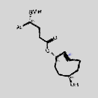 CN[C@H](CCC(=O)O[C@@H]1/C=C/CC[C@@H](O)CC1)C(C)=O